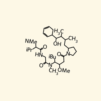 CCC(C)C(C(CC(=O)N1CCCC1CC(C)C(C)C(O)C1C=CC=CC1)OC)N(C)C(=O)CNC(=O)C(NC)C(C)C